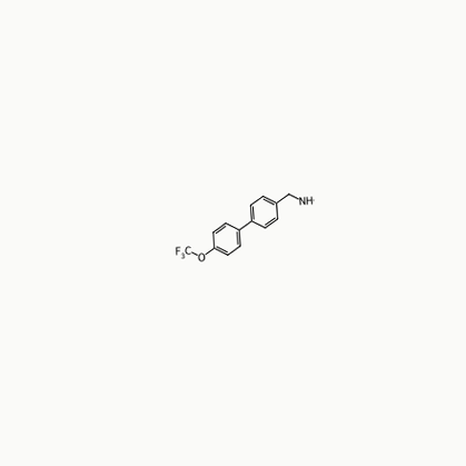 [NH]Cc1ccc(-c2ccc(OC(F)(F)F)cc2)cc1